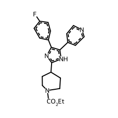 CCOC(=O)N1CCC(c2nc(-c3ccc(F)cc3)c(-c3ccncc3)[nH]2)CC1